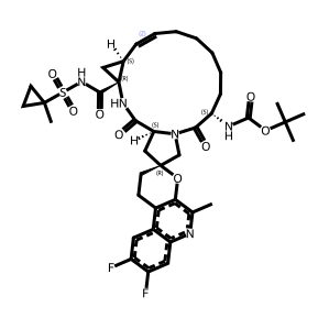 Cc1nc2cc(F)c(F)cc2c2c1O[C@]1(CC2)C[C@H]2C(=O)N[C@]3(C(=O)NS(=O)(=O)C4(C)CC4)C[C@H]3/C=C\CCCCC[C@H](NC(=O)OC(C)(C)C)C(=O)N2C1